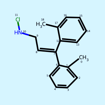 Cc1ccccc1C(=CCNCl)c1ccccc1C